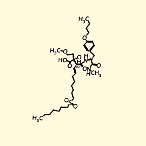 CCCCCCCS(=O)(=O)CCCCCCC=C[C@H](C(=O)N[C@@H](Cc1ccc(OCCCC)cc1)C(=O)NC)[C@@](O)(CCOC)C(=O)O